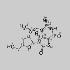 CN(C)C1CC(CO)OC1n1c(=O)sc2c(=O)[nH]c(N)nc21